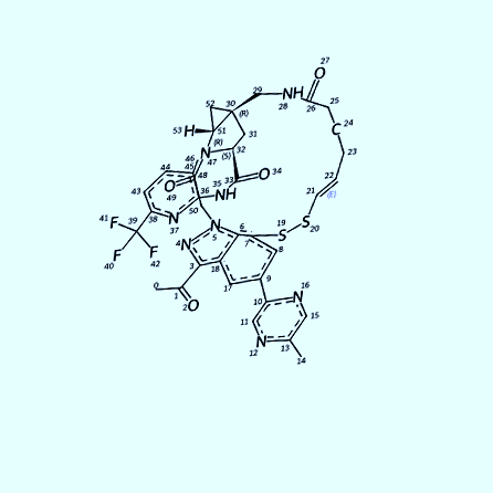 CC(=O)c1nn2c3c(cc(-c4cnc(C)cn4)cc13)SS/C=C/CCCC(=O)NC[C@@]13C[C@@H](C(=O)Nc4nc(C(F)(F)F)ccc4C)N(C(=O)C2)[C@@H]1C3